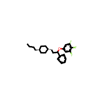 CCCC[C@H]1CC[C@H](CCC(Oc2cc(F)c(F)c(F)c2)c2ccccc2)CC1